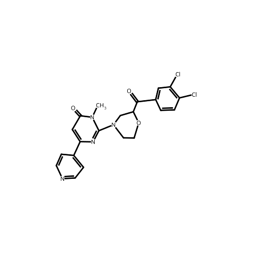 Cn1c(N2CCOC(C(=O)c3ccc(Cl)c(Cl)c3)C2)nc(-c2ccncc2)cc1=O